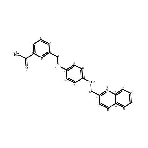 O=C(O)c1cccc(COc2ccc(OCc3ccc4ccccc4n3)cc2)c1